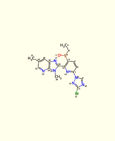 CC[S+]([O-])c1ccc(-n2cnc(Br)n2)nc1-c1nc2cc(C)cnc2n1C